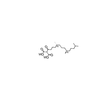 CC(C)CCC[C@@H](C)CCC[C@@H](C)CCCC(=O)C(C(=O)O)C(=O)O